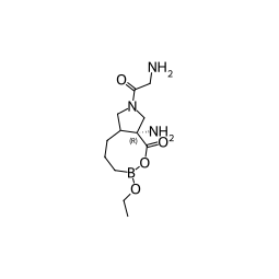 CCOB1CCCC2CN(C(=O)CN)C[C@@]2(N)C(=O)O1